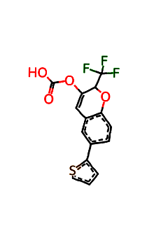 O=C(O)OC1=Cc2cc(-c3cccs3)ccc2OC1C(F)(F)F